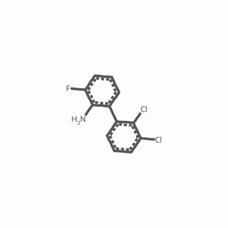 Nc1c(F)cccc1-c1cccc(Cl)c1Cl